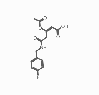 CC(=O)OC(=CC(=O)O)CC(=O)NCc1ccc(F)cc1